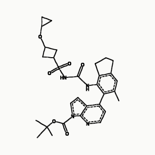 Cc1cc2c(c(NC(=O)NS(=O)(=O)C3CC(OC4CC4)C3)c1-c1ccnc3c1ccn3C(=O)OC(C)(C)C)CCC2